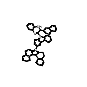 c1ccc2c(c1)CCc1c-2c2c3ccccc3ccc2n1-c1ccc2c(c1)c1ccccc1n2C1=Nc2ccccc2NC1c1ccc2ccccc2c1